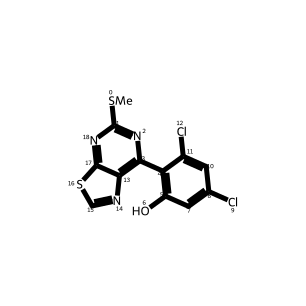 CSc1nc(-c2c(O)cc(Cl)cc2Cl)c2ncsc2n1